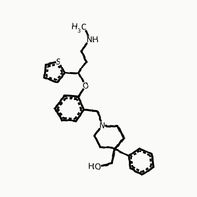 CNCCC(Oc1ccccc1CN1CCC(CO)(c2ccccc2)CC1)c1cccs1